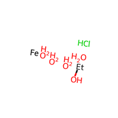 CCO.Cl.O.O.O.O.[Fe]